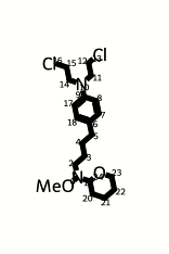 CON(CCCCc1ccc(N(CCCl)CCCl)cc1)C1CCCCO1